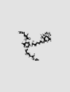 CCCCOC(=O)CC[C@@H](C)CC[C@@H]1OC(C)[C@H](OC(=O)[C@H](C)CN=[N+]=[N-])C[C@@H]1OC(=O)CCCCO[C@@H]1OC(C)[C@H](OCCCC)C[C@@H]1OCCCC